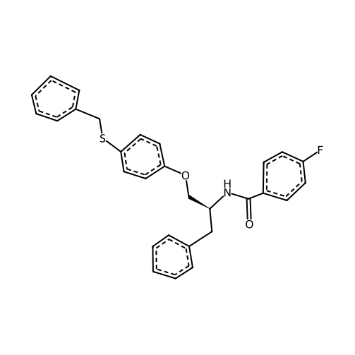 O=C(N[C@H](COc1ccc(SCc2ccccc2)cc1)Cc1ccccc1)c1ccc(F)cc1